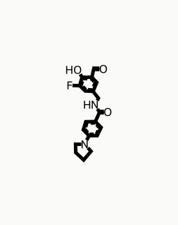 O=Cc1cc(CNC(=O)c2ccc(N3CCCC3)cc2)cc(F)c1O